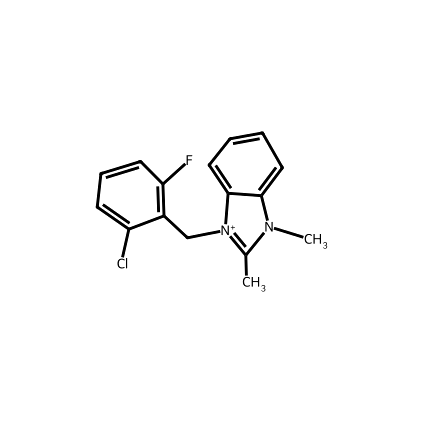 Cc1n(C)c2ccccc2[n+]1Cc1c(F)cccc1Cl